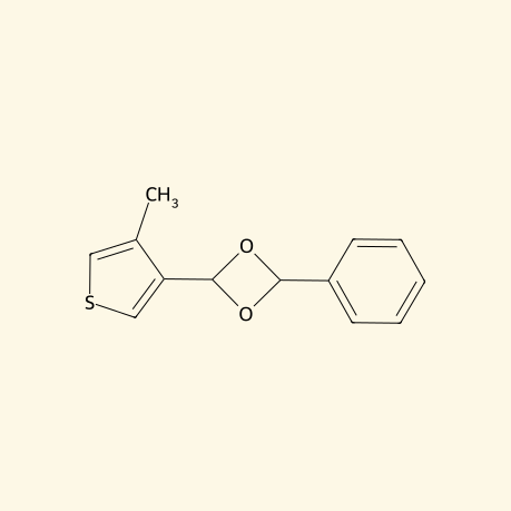 Cc1cscc1C1OC(c2ccccc2)O1